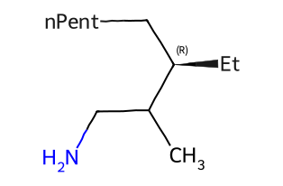 CCCCCC[C@@H](CC)C(C)CN